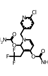 NC(=O)OC1=C(CC(F)(F)F)C(OC(N)=O)N(Cc2ccc(Cl)nc2)C=C1